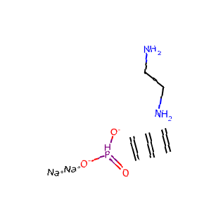 C=C.C=C.C=C.NCCN.O=[PH]([O-])[O-].[Na+].[Na+]